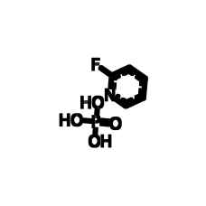 Fc1ccccn1.O=P(O)(O)O